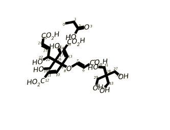 CCC(=O)O.O=C(O)C=COC(C=CC(=O)O)(C=CC(=O)O)C(CO)(CO)C(O)C=CC(=O)O.OCC(CO)(CO)CO